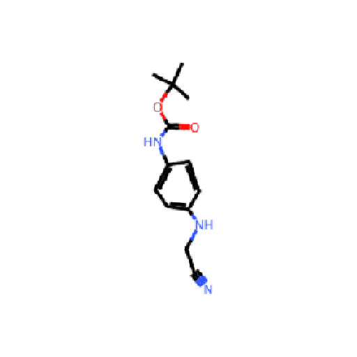 CC(C)(C)OC(=O)Nc1ccc(NCC#N)cc1